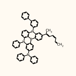 C=C/C=C\C=C(/C)c1ccc2c(c1)N(c1cccc(-c3ccccc3)c1)c1cccc3c1B2c1ccc(N(c2ccccc2)c2ccccc2)cc1N3c1ccccc1